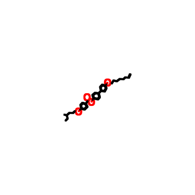 C=CCCCCCCOc1ccc(-c2ccc(OC(=O)c3ccc(OCCCC(C)CC)cc3)cc2)cc1